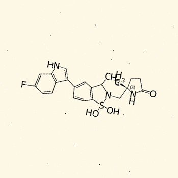 CC1c2cc(-c3c[nH]c4cc(F)ccc34)ccc2S(O)(O)N1C[C@]1(C)CCC(=O)N1